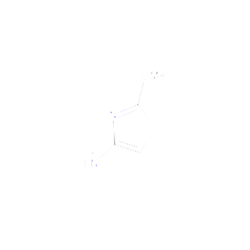 COc1nc(N)cs1